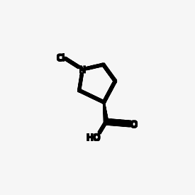 O=C(O)[C@@H]1CCN(Cl)C1